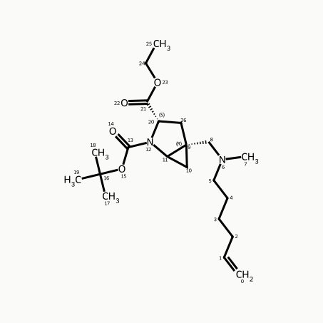 C=CCCCCN(C)C[C@]12CC1N(C(=O)OC(C)(C)C)[C@H](C(=O)OCC)C2